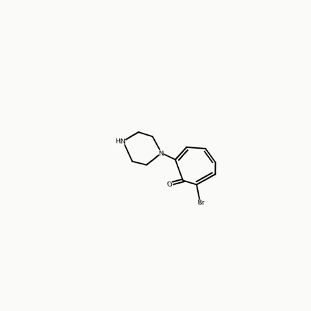 O=c1c(Br)ccccc1N1CCNCC1